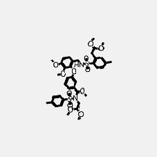 COc1ccc(CNS(=O)(=O)c2ccc(C)cc2CC(OC)OC)c(Oc2cccc(C(OC)N(CC(OC)OC)S(=O)(=O)c3ccc(C)cc3)c2)c1OC